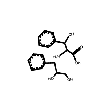 NC(C(=O)O)C(O)c1ccccc1.OCC(O)Cc1ccccc1